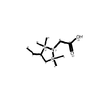 CCC1C[Si](C)(C)N(CC(=O)O)[Si]1(C)C